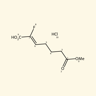 COC(=O)CCCC=C(F)C(=O)O.Cl